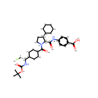 CC(C)(C)OC(=O)N[C@H](CF)C1CCC(C(=O)N2CC[C@@H](C3CCCCC3)[C@H]2C(=O)Nc2ccc(C(=O)O)cc2)CC1